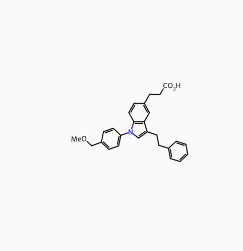 COCc1ccc(-n2cc(CCc3ccccc3)c3cc(CCC(=O)O)ccc32)cc1